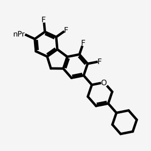 CCCc1cc2c(c(F)c1F)-c1c(cc(C3CC=C(C4CCCCC4)CO3)c(F)c1F)C2